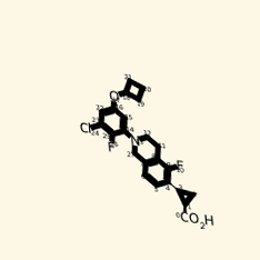 O=C(O)[C@@H]1C[C@H]1c1ccc2c(c1F)CCN(c1cc(OC3CCC3)cc(Cl)c1F)C2